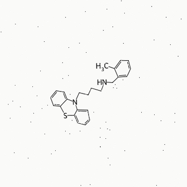 Cc1ccccc1CNCCCCN1c2ccccc2Sc2ccccc21